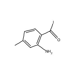 Cc1ccc(C(=O)I)c(N)c1